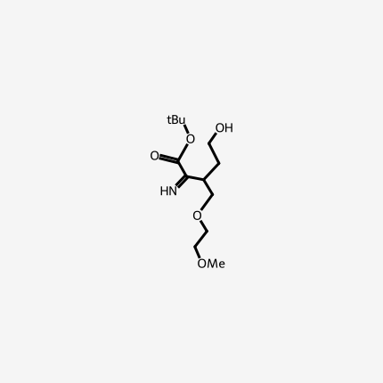 COCCOCC(CCO)C(=N)C(=O)OC(C)(C)C